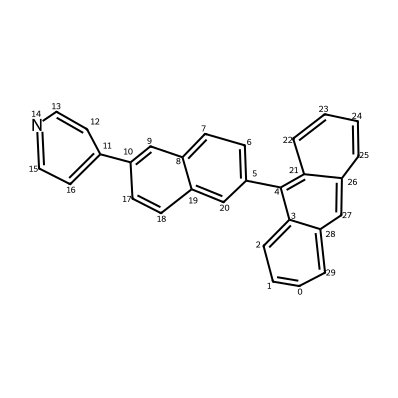 c1ccc2c(-c3ccc4cc(-c5ccncc5)ccc4c3)c3ccccc3cc2c1